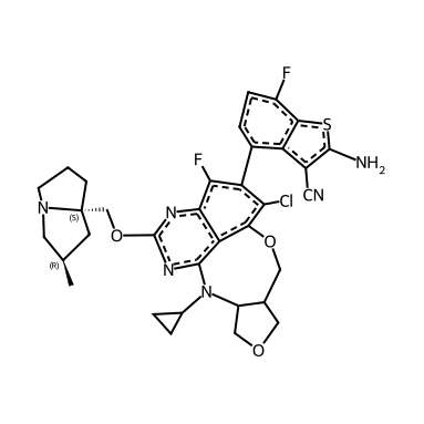 C[C@H]1CN2CCC[C@@]2(COc2nc3c4c(c(Cl)c(-c5ccc(F)c6sc(N)c(C#N)c56)c(F)c4n2)OCC2COCC2N3C2CC2)C1